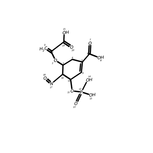 C=C(OC1CC(C(=O)O)=CC(OP(=O)(O)O)C1N=O)C(=O)O